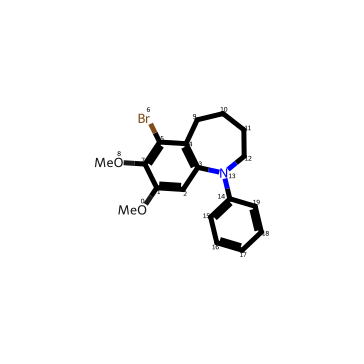 COc1cc2c(c(Br)c1OC)CCCCN2c1ccccc1